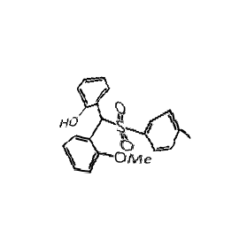 COc1ccccc1C(c1ccccc1O)S(=O)(=O)c1ccc(C)cc1